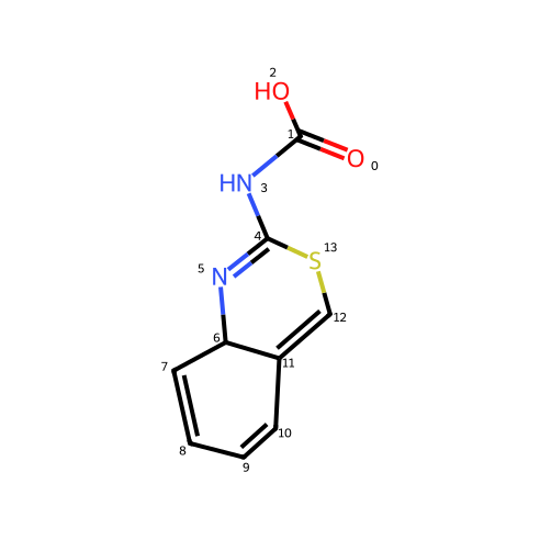 O=C(O)NC1=NC2C=CC=CC2=CS1